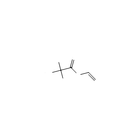 C=COC(=O)C(F)(F)S(=O)(=O)O